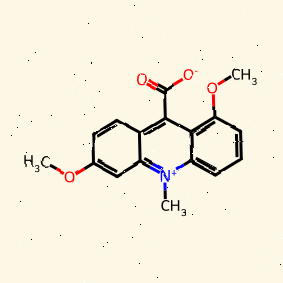 COc1ccc2c(C(=O)[O-])c3c(OC)cccc3[n+](C)c2c1